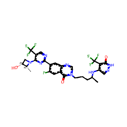 CC(CCCn1cnc2cc(-c3ncc(C(F)(F)F)c(N4C[C@@H](O)[C@H]4C)n3)c(F)cc2c1=O)Nc1cn[nH]c(=O)c1C(F)(F)F